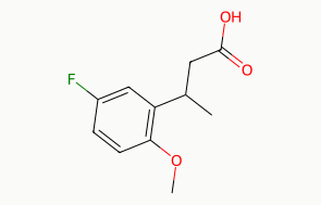 COc1ccc(F)cc1C(C)CC(=O)O